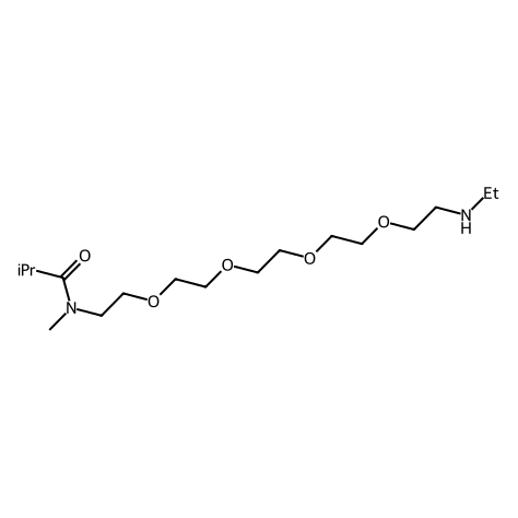 CCNCCOCCOCCOCCOCCN(C)C(=O)C(C)C